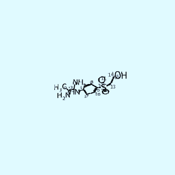 CC(N)C(N)Nc1ccc(S(=O)(=O)CCO)cc1